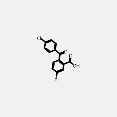 O=C(O)c1cc(Br)ccc1C(=O)c1ccc(Cl)cc1